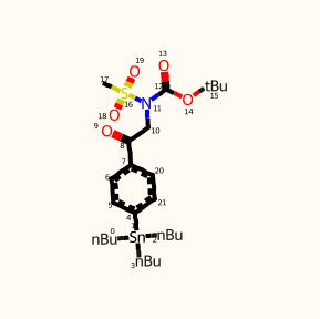 CCC[CH2][Sn]([CH2]CCC)([CH2]CCC)[c]1ccc(C(=O)CN(C(=O)OC(C)(C)C)S(C)(=O)=O)cc1